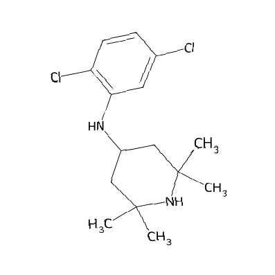 CC1(C)CC(Nc2cc(Cl)ccc2Cl)CC(C)(C)N1